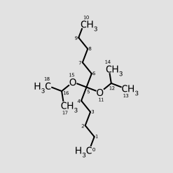 CCCCCC(CCCCC)(OC(C)C)OC(C)C